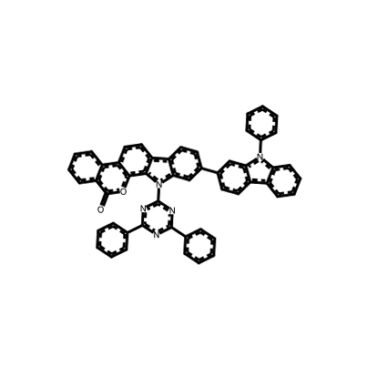 O=c1oc2c(ccc3c4ccc(-c5ccc6c7ccccc7n(-c7ccccc7)c6c5)cc4n(-c4nc(-c5ccccc5)nc(-c5ccccc5)n4)c32)c2ccccc12